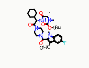 C[C@@H](C(=O)N[C@H](C(=O)N1CCN(C(=O)c2c(C=O)c3cc(F)ccc3n2C)CC1)C1CCCCC1)N(C)C(=O)OC(C)(C)C